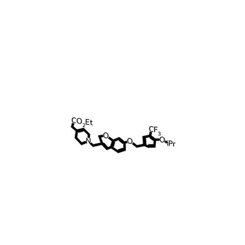 CCOC(=O)CC1=CCN(CC2=Cc3ccc(OCc4ccc(OC(C)C)c(C(F)(F)F)c4)cc3OC2)CC1